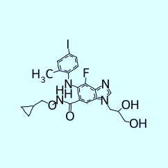 Cc1cc(I)ccc1Nc1c(C(=O)NOCC2CC2)cc2c(ncn2CC(O)CO)c1F